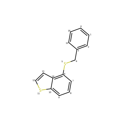 c1ccc(CSc2cccc3sccc23)cc1